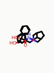 O=C(NCC1C2CCC1CN(Cc1ccccc1)C2)[C@](O)(CO)c1ccccc1